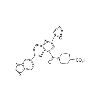 O=C(O)C1CCN(C(=O)c2cc(-c3ccco3)nc3ccc(-c4ccc5scnc5c4)cc23)CC1